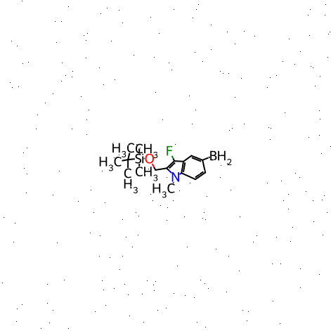 Bc1ccc2c(c1)c(F)c(CO[Si](C)(C)C(C)(C)C)n2C